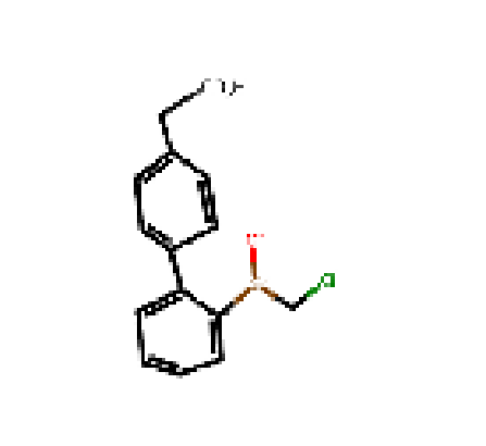 O=C(O)Cc1ccc(-c2ccccc2[S+]([O-])CCl)cc1